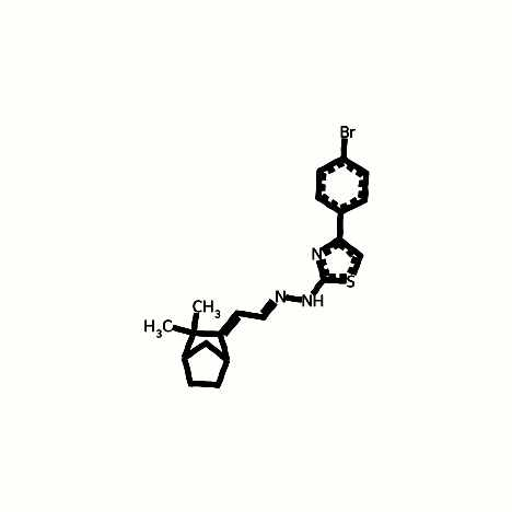 CC1(C)C(=CC=NNc2nc(-c3ccc(Br)cc3)cs2)C2CCC1C2